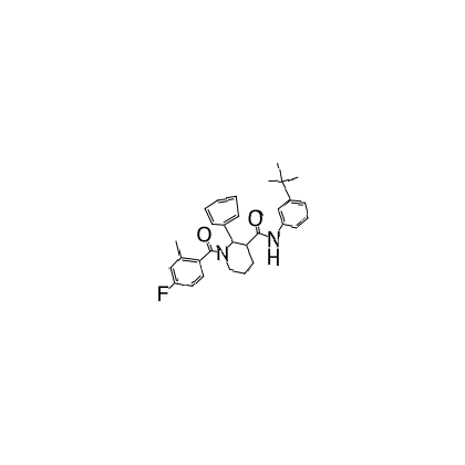 Cc1cc(F)ccc1C(=O)N1CCCC(C(=O)Nc2cccc(C(C)(C)C)c2)C1c1ccccc1